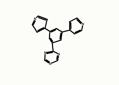 c1cc(-c2cc(-c3ccncc3)cc(-c3ncncn3)c2)ccn1